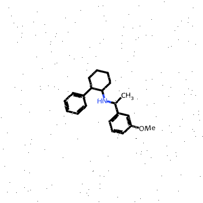 COc1cccc(C(C)NC2CCCCC2c2ccccc2)c1